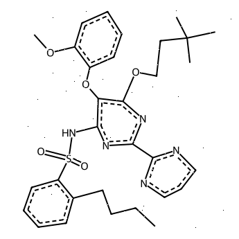 CCCCc1ccccc1S(=O)(=O)Nc1nc(-c2ncccn2)nc(OCCC(C)(C)C)c1Oc1ccccc1OC